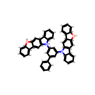 c1ccc(-c2cc(-n3c4ccccc4c4cc5oc6ccccc6c5cc43)cc(-n3c4ccccc4c4cc5oc6ccccc6c5cc43)c2)cc1